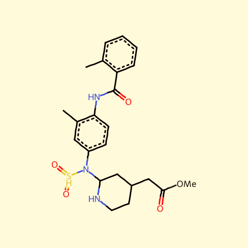 COC(=O)CC1CCNC(N(c2ccc(NC(=O)c3ccccc3C)c(C)c2)[SH](=O)=O)C1